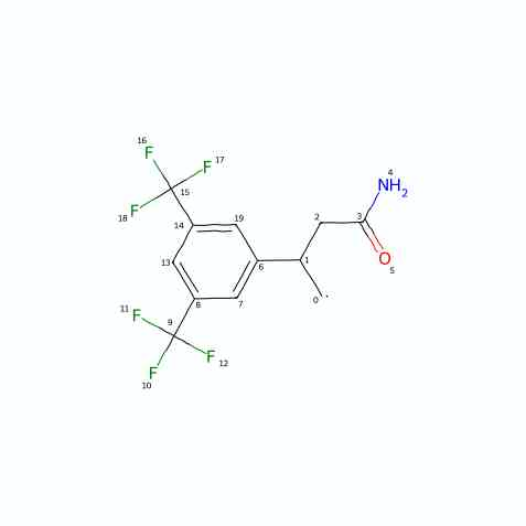 [CH2]C(CC(N)=O)c1cc(C(F)(F)F)cc(C(F)(F)F)c1